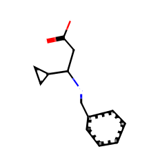 O=C(O)CC(NCc1ccccc1)C1CC1